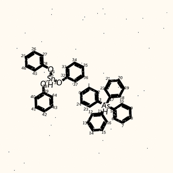 c1ccc([AsH](c2ccccc2)(c2ccccc2)c2ccccc2)cc1.c1ccc([O][SnH]([O]c2ccccc2)[O]c2ccccc2)cc1